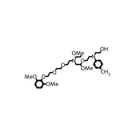 COCCN(CCOCCOCCOc1c(OC)cccc1OC)CC(OC)OCCN(CCO)c1ccc(C)cc1